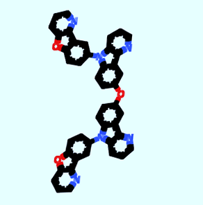 c1cnc2c(c1)oc1ccc(-n3c4ccc(Oc5ccc6c(c5)c5ncccc5n6-c5ccc6oc7cccnc7c6c5)cc4c4ncccc43)cc12